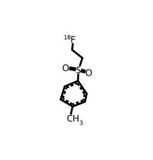 Cc1ccc(S(=O)(=O)CC[18F])cc1